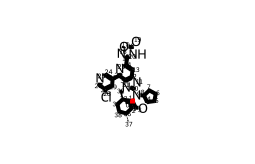 CC1COC2CCCC2N1c1nc2cc(-c3noc(=O)[nH]3)nc(-c3cncc(Cl)c3)c2n1C[C@H]1CC[C@H](C)CC1